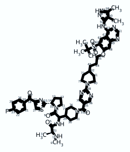 CN[C@@H](C)C(=O)NC(C(=O)N1CCC[C@H]1c1nc(C(=O)c2ccc(F)cc2)cs1)C1CCN(C(=O)c2cnc(N3CCC(CCCOc4cc5ncnc(Nc6n[nH]c(C)c6C)c5cc4S(=O)(=O)C(C)(C)C)CC3)nc2)CC1